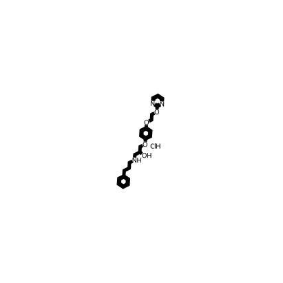 Cl.OC(CNCCCc1ccccc1)COc1ccc(OCCOc2ncccn2)cc1